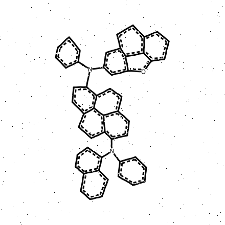 c1ccc(N(c2cc3ccc4cccc5oc(c2)c3c45)c2ccc3ccc4c(N(c5ccccc5)c5cccc6ccccc56)ccc5ccc2c3c54)cc1